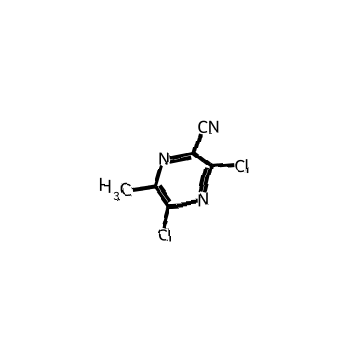 Cc1nc(C#N)c(Cl)nc1Cl